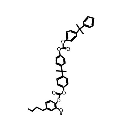 CCCCc1ccc(OC(=O)Oc2ccc(C(C)(C)c3ccc(OC(=O)Oc4ccc(C(C)(C)c5ccccc5)cc4)cc3)cc2)c(OC)c1